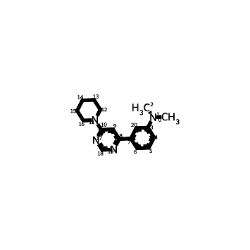 CN(C)c1cccc(-c2cc(N3CCCCC3)ncn2)c1